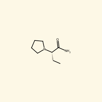 CC[C@@H](C(N)=O)N1CCCC1